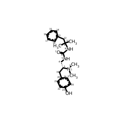 CN(C)[C@@H](CNC(=O)NC(C)(C)Cc1ccccc1)Cc1ccc(O)cc1